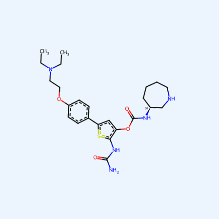 CCN(CC)CCOc1ccc(-c2cc(OC(=O)N[C@H]3CCCCNC3)c(NC(N)=O)s2)cc1